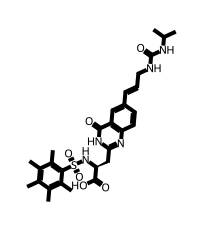 Cc1c(C)c(C)c(S(=O)(=O)N[C@@H](Cc2nc3ccc(C=CCNC(=O)NC(C)C)cc3c(=O)[nH]2)C(=O)O)c(C)c1C